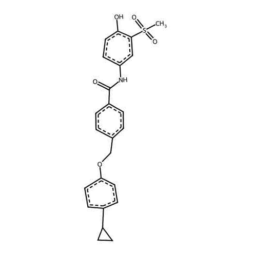 CS(=O)(=O)c1cc(NC(=O)c2ccc(COc3ccc(C4CC4)cc3)cc2)ccc1O